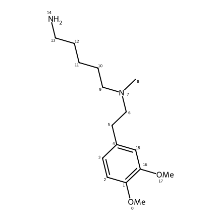 COc1ccc(CCN(C)CCCCCN)cc1OC